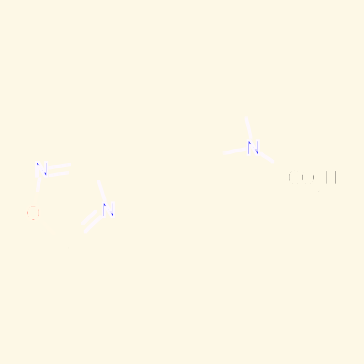 Cc1nc(CC2C[C@H](C)N(C(=O)O)C2)no1